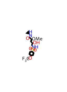 CO/C(=C\C(O)CNS(=O)(=O)c1ccc(OC(F)(F)F)cc1)C(=O)NC1CC1